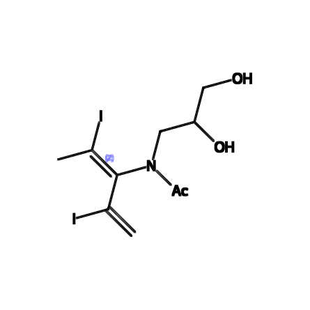 C=C(I)/C(=C(\C)I)N(CC(O)CO)C(C)=O